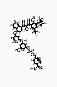 COc1cc(Nc2cc(Oc3ccc(NC(=O)Nc4cc(C(C)(C)C)cc(NS(C)(=O)=O)c4OC)c4ccccc34)ccn2)cc(OCCOCc2ccc(C(=O)O)nn2)c1